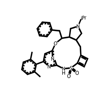 Cc1cccc(C)c1-c1cc2nc(n1)NS(=O)(=O)C1=CC=C1CC1CN(C(C)C)CC1C(Cc1ccccc1)O2